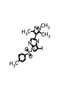 Cc1ccc(S(=O)(=O)n2cc(I)c3nc(-c4c(C)nn(C)c4C)cnc32)cc1